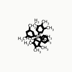 CC1=C(C)C(C)([Si](c2ccccc2)(c2cc(C)cc(C)c2)c2cc(C)c(C)c(C)c2)[C]([Ti]([CH3])([CH3])[CH3])=C1C